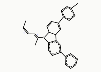 C/C=C\C=C(/C)N1c2ccc(-c3ccccc3)cc2C2C=C(c3ccc(C)cc3)C=CC21